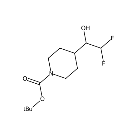 CC(C)(C)OC(=O)N1CCC(C(O)C(F)F)CC1